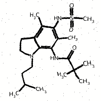 Cc1c2c(c(NC(=O)C(C)(C)C)c(C)c1NS(C)(=O)=O)N(CCC(C)C)CC2